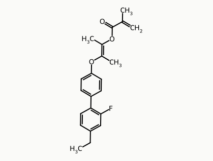 C=C(C)C(=O)O/C(C)=C(\C)Oc1ccc(-c2ccc(CC)cc2F)cc1